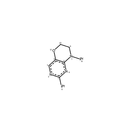 CC(C)c1ncc2c(n1)N(C(C)C)CCO2